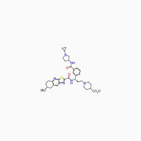 CC(C)(C)[C@H]1CCc2nc3sc(C(=O)N[C@H](CCN4CCC(C(=O)O)CC4)c4cccc(C(=O)NC5CCN(C6CC6)C5)c4)nc3cc2C1